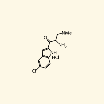 CNCC(N)C(=O)c1cc2cc(Cl)ccc2[nH]1.Cl